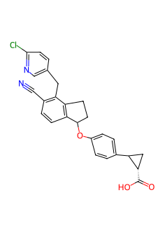 N#Cc1ccc2c(c1Cc1ccc(Cl)nc1)CCC2Oc1ccc(C2C[C@@H]2C(=O)O)cc1